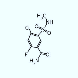 CNS(=O)(=O)c1cc(C(N)=O)c(F)cc1Cl